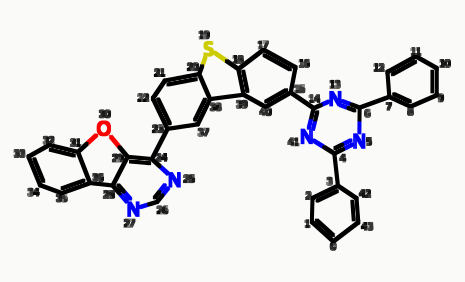 c1ccc(-c2nc(-c3ccccc3)nc(-c3ccc4sc5ccc(-c6ncnc7c6oc6ccccc67)cc5c4c3)n2)cc1